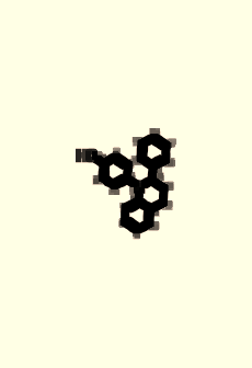 Oc1ccc(N2c3ccccc3CCC2c2ccccc2)cc1